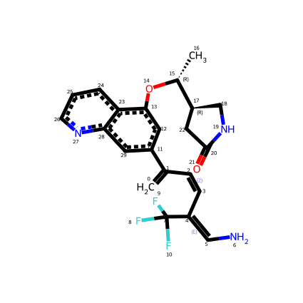 C=C(/C=C\C(=C/N)C(F)(F)F)c1cc(O[C@H](C)[C@H]2CNC(=O)C2)c2cccnc2c1